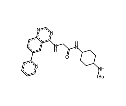 CC(C)(C)NC1CCC(NC(=O)CNc2ncnc3ccc(-c4ccccn4)cc23)CC1